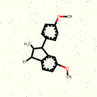 CCC1c2ccc(OC#N)cc2C(c2ccc(OC#N)cc2)C1C